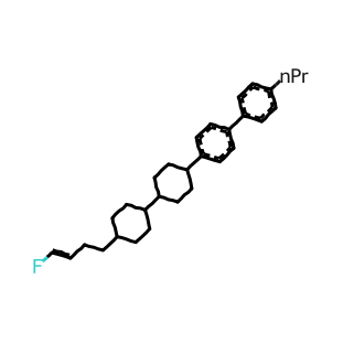 CCCc1ccc(-c2ccc(C3CCC(C4CCC(CCC=CF)CC4)CC3)cc2)cc1